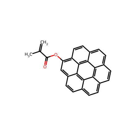 C=C(C)C(=O)Oc1cc2ccc3ccc4ccc5ccc6ccc1c1c6c5c4c3c21